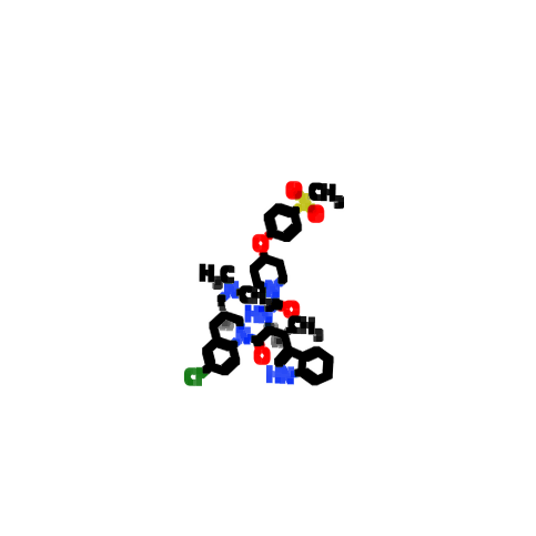 C[C@H](c1c[nH]c2ccccc12)[C@@H](NC(=O)N1CCC(Oc2ccc(S(C)(=O)=O)cc2)CC1)C(=O)N1C[C@@H](CN(C)C)Cc2cc(Cl)ccc21